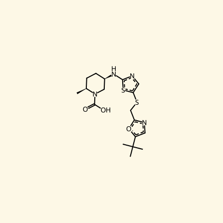 C[C@H]1CC[C@@H](Nc2ncc(SCc3ncc(C(C)(C)C)o3)s2)CN1C(=O)O